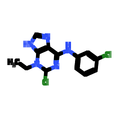 CCN1c2[nH]cnc2C(Nc2cccc(Cl)c2)=NC1Cl